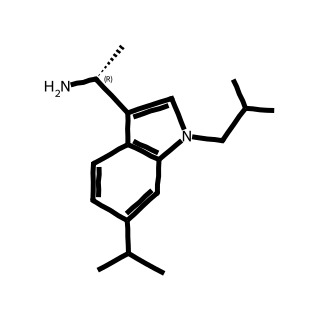 CC(C)Cn1cc([C@@H](C)N)c2ccc(C(C)C)cc21